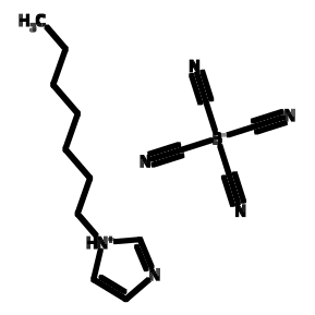 CCCCCCC[NH+]1C=CN=C1.N#C[B-](C#N)(C#N)C#N